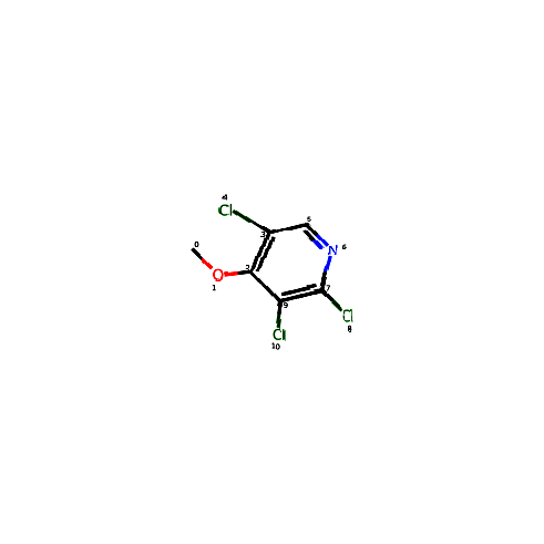 COc1c(Cl)cnc(Cl)c1Cl